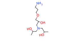 CC(O)CN(CC(C)O)CC(O)COCCCN